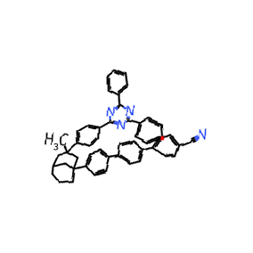 CC1(c2ccc(-c3nc(-c4ccccc4)nc(-c4ccccc4)n3)cc2)CC2CCCC(c3ccc(-c4ccc(-c5ccc(C#N)cc5)cc4)cc3)(C2)C1